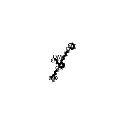 COC(=O)CCc1c(CCCCCCOC2CCCCO2)cccc1OCCCCS(C)(=O)=O